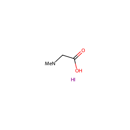 CNCC(=O)O.I